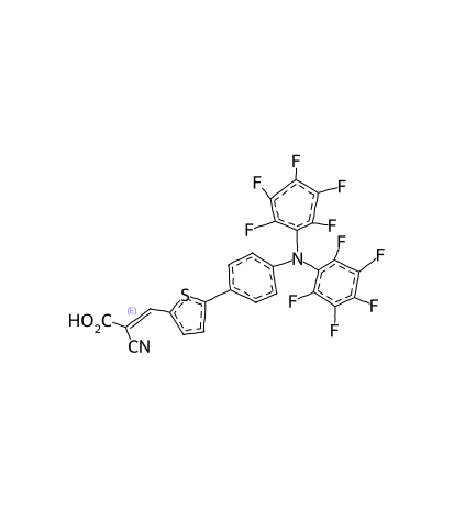 N#C/C(=C\c1ccc(-c2ccc(N(c3c(F)c(F)c(F)c(F)c3F)c3c(F)c(F)c(F)c(F)c3F)cc2)s1)C(=O)O